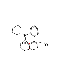 O=Cc1cccc(O)c1-c1ccccc1P(C1CCCCC1)C1CCCCC1